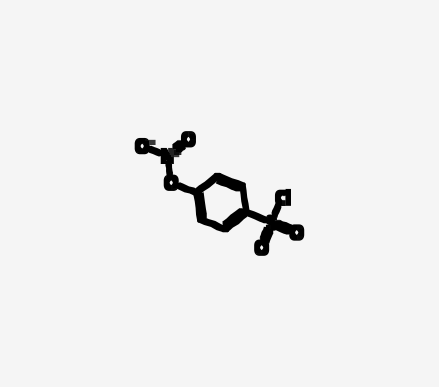 O=[N+]([O-])Oc1ccc(S(=O)(=O)Cl)cc1